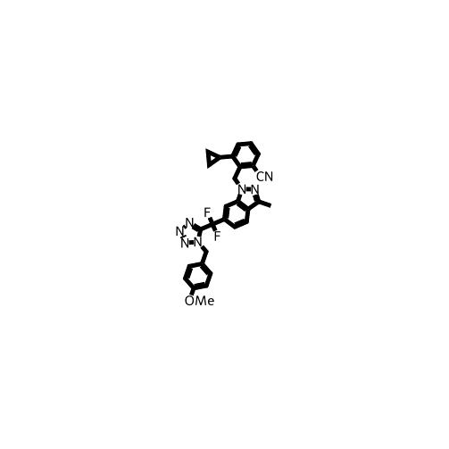 COc1ccc(Cn2nnnc2C(F)(F)c2ccc3c(C)nn(Cc4c(C#N)cccc4C4CC4)c3c2)cc1